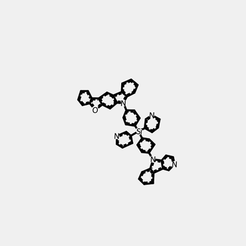 c1cncc([Si](c2ccc(-n3c4ccccc4c4cnccc43)cc2)(c2ccc(-n3c4ccccc4c4cc5c(cc43)oc3ccccc35)cc2)c2cccnc2)c1